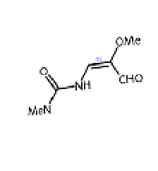 CNC(=O)N/C=C(\C=O)OC